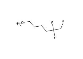 [CH2]CCCCC(F)(F)CF